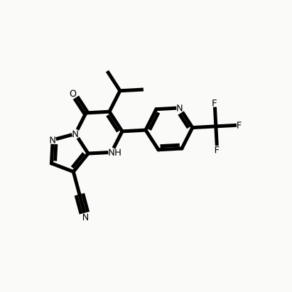 CC(C)c1c(-c2ccc(C(F)(F)F)nc2)[nH]c2c(C#N)cnn2c1=O